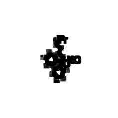 CC(C)CCCCC(ON=O)(c1ccccc1)c1ccccc1